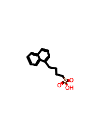 O=S(=O)(O)CCCCc1cccc2ccccc12